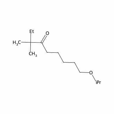 CCC(C)(C)C(=O)CCCCCOC(C)C